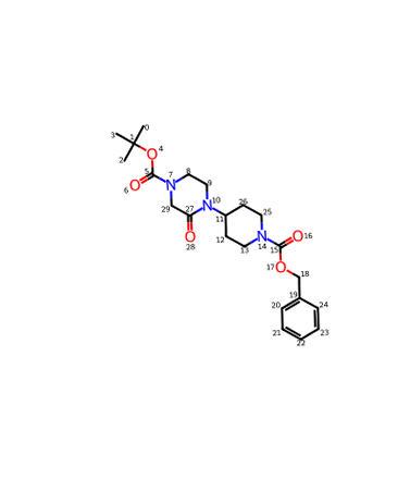 CC(C)(C)OC(=O)N1CCN(C2CCN(C(=O)OCc3ccccc3)CC2)C(=O)C1